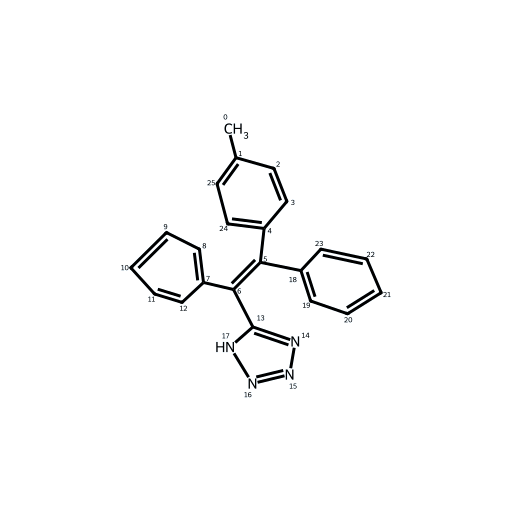 Cc1ccc(/C(=C(\c2ccccc2)c2nnn[nH]2)c2ccccc2)cc1